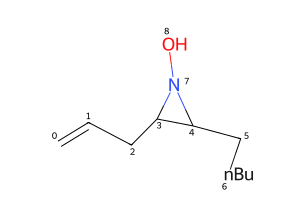 C=CCC1C(CCCCC)N1O